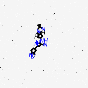 Cn1cc2cc(-c3cc(C#N)c(N[C@@H]4C[C@@H]5CN(CC6(C#N)CC6)C[C@@H]5C4)nn3)ccc2n1